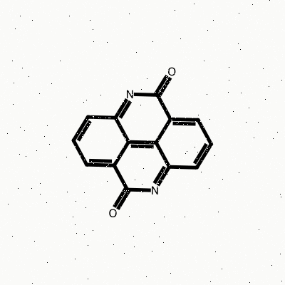 O=c1nc2cccc3c(=O)nc4cccc1c4=c23